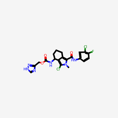 Cn1c(Cl)c2c(c1C(=O)Nc1ccc(F)c(Cl)c1)CCCC2NC(=O)OCc1nc[nH]n1